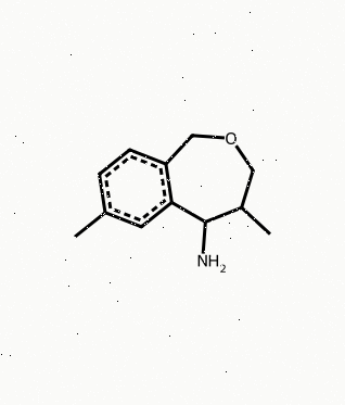 Cc1ccc2c(c1)C(N)C(C)COC2